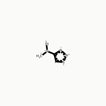 CCN(C)c1csnn1